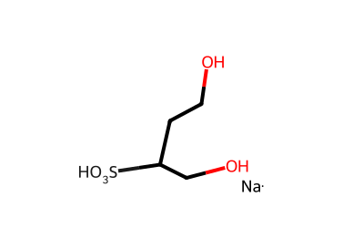 O=S(=O)(O)C(CO)CCO.[Na]